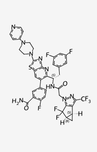 NC(=O)c1cc(-c2cc3sc(N4CCN(c5ccncc5)CC4)nc3nc2[C@H](Cc2cc(F)cc(F)c2)NC(=O)Cn2nc(C(F)(F)F)c3c2C(F)(F)[C@@H]2C[C@H]32)ccc1F